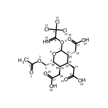 CC(=O)OC[C@@H]1OC(OC(=N)C(Cl)(Cl)Cl)[C@H](CC(=O)O)[C@@H](CC(=O)O)[C@H]1CC(=O)O